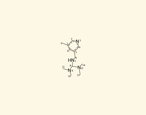 Cc1cncc(CNC(N(C)C)N(C)C)c1